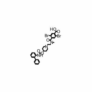 CN(CCN1CCC(OC(=O)Nc2ccccc2-c2ccccc2)CC1)C(=O)c1cc(Br)c(C(=O)O)cc1Br